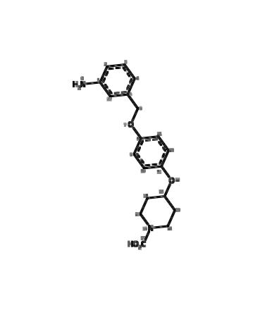 Nc1cccc(COc2ccc(OC3CCN(C(=O)O)CC3)cc2)c1